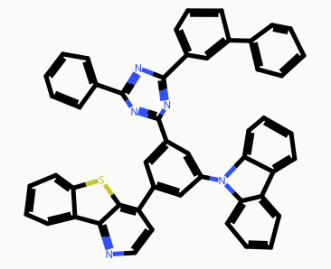 c1ccc(-c2cccc(-c3nc(-c4ccccc4)nc(-c4cc(-c5ccnc6c5sc5ccccc56)cc(-n5c6ccccc6c6ccccc65)c4)n3)c2)cc1